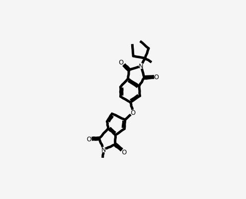 CCC(C)(CC)N1C(=O)c2ccc(Oc3ccc4c(c3)C(=O)N(C)C4=O)cc2C1=O